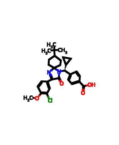 COc1ccc(C2=NC3(CCC(C(C)(C)C)CC3)N([C@@H](c3ccc(C(=O)O)cc3)C3CC3)C2=O)cc1Cl